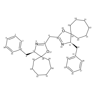 c1ccc(C[C@H]2N=C(CC3=N[C@H](Cc4ccccc4)C4(CCCCCC4)O3)OC23CCCCCC3)cc1